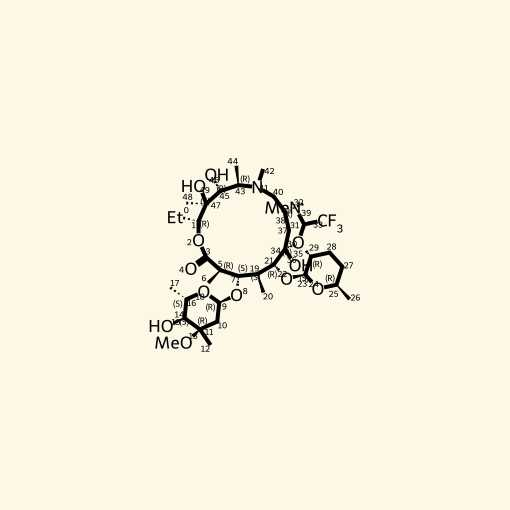 CC[C@H]1OC(=O)[C@H](C)[C@@H](O[C@H]2C[C@@](C)(OC)[C@@H](O)[C@H](C)O2)[C@H](C)[C@@H](O[C@@H]2O[C@H](C)CC[C@H]2OC(NC)C(F)(F)F)[C@](C)(O)C[C@@H](C)CN(C)[C@H](C)[C@@H](O)[C@]1(C)O